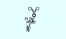 [N-]=[N+]=NCCCNC(=O)[C@@H](N)Cc1ccc(N(CCCl)CCCl)cc1